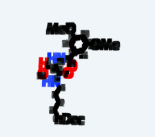 CCCCCCCCCCCCCCNC(=O)[C@H](CO)NC(=O)c1cc(OC)cc(OC)c1